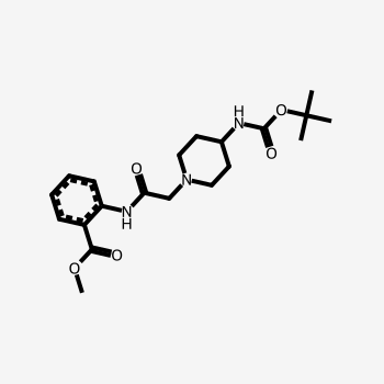 COC(=O)c1ccccc1NC(=O)CN1CCC(NC(=O)OC(C)(C)C)CC1